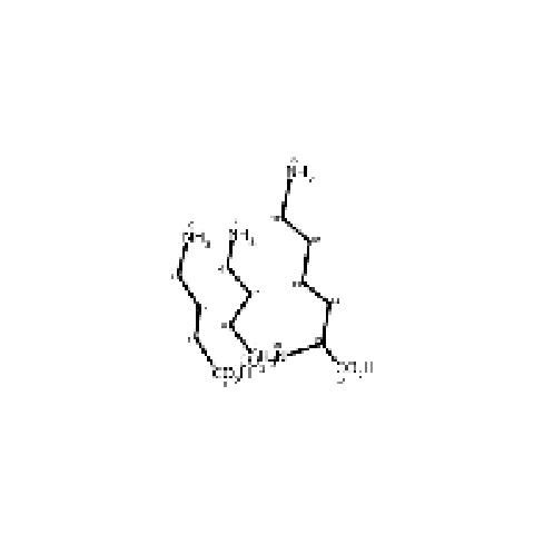 NCCCC(=O)O.NCCCC(=O)O.NCCCCC(N)C(=O)O